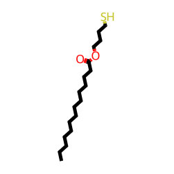 CCCCCCCCCCCCCC(=O)OCCCCS